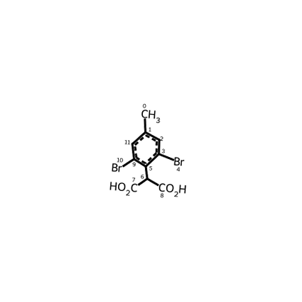 Cc1cc(Br)c(C(C(=O)O)C(=O)O)c(Br)c1